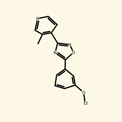 CCOc1cccc(-c2nc(-c3ccncc3C)no2)c1